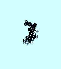 CN(C)c1cc(CN(CC(C)(C)C)C(=O)Nc2ccc([N+](=O)[O-])cc2)c(O)c2c1CC1CC3C(N(C)C)C(O)=C(C(N)=O)C(=O)C3(O)C(O)=C1C2=O